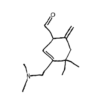 C=C1CC(C)(C)C(CN(C)C)=CC1C=O